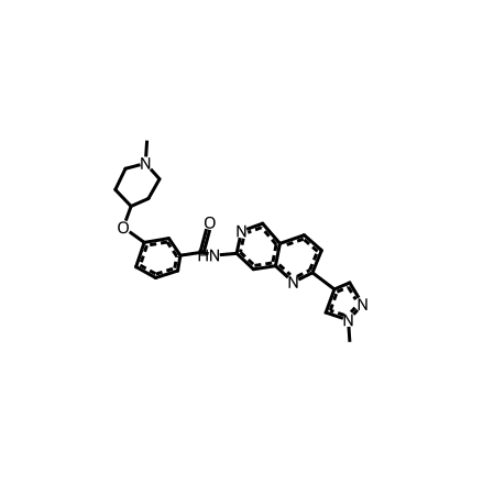 CN1CCC(Oc2cccc(C(=O)Nc3cc4nc(-c5cnn(C)c5)ccc4cn3)c2)CC1